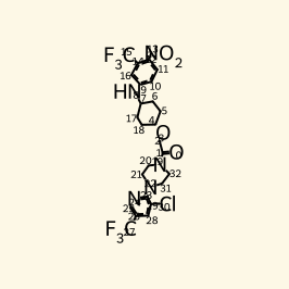 O=C(COC1CCC(Nc2ccc([N+](=O)[O-])c(C(F)(F)F)c2)CC1)N1CCN(c2ncc(C(F)(F)F)cc2Cl)CC1